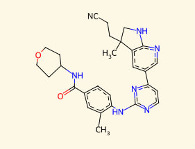 Cc1cc(C(=O)NC2CCOCC2)ccc1Nc1nccc(-c2cnc3c(c2)C(C)(CCC#N)CN3)n1